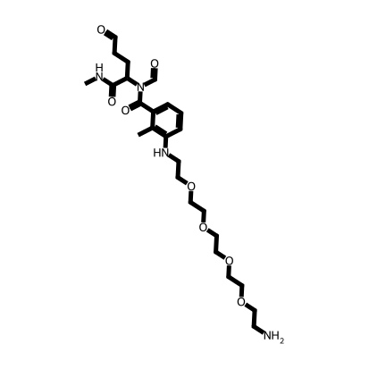 CNC(=O)C(CCC=O)N(C=O)C(=O)c1cccc(NCCOCCOCCOCCOCCN)c1C